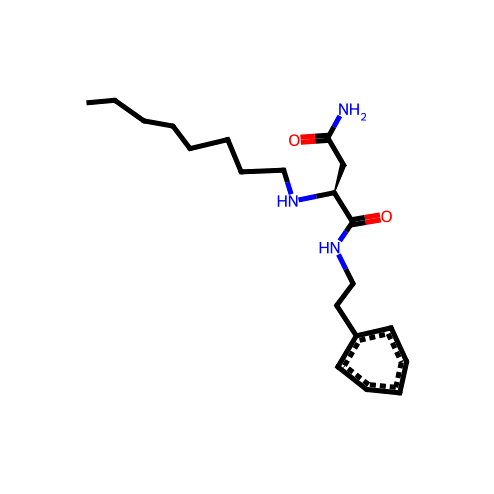 CCCCCCCCN[C@@H](CC(N)=O)C(=O)NCCc1ccccc1